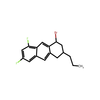 CCCC1Cc2cc3cc(F)cc(F)c3cc2C(Br)C1